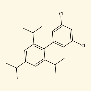 CC(C)c1cc(C(C)C)c(-c2cc(Cl)cc(Cl)c2)c(C(C)C)c1